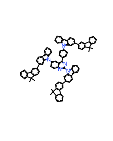 CC1(C)c2ccccc2-c2cc(-c3ccc4c5ccccc5n(-c5ccc(-c6nc(-n7c8ccccc8c8ccc(-c9ccc%10c(c9)-c9ccccc9C%10(C)C)cc87)nc7ccc(-n8c9ccccc9c9ccc(-c%10ccc%11c(c%10)-c%10ccccc%10C%11(C)C)cc98)cc67)cc5)c4c3)ccc21